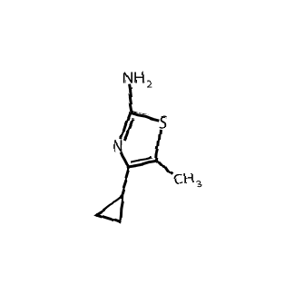 Cc1sc(N)nc1C1CC1